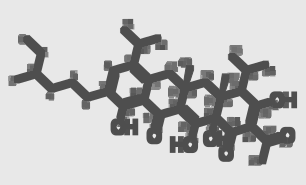 CCC(C)CCCc1cc(C(C)C)c2c(c1O)C(=O)C1=C(O)[C@@]3(O)C(=O)C(C(C)=O)=C(O)C(C(C)C)[C@@]3(C)C[C@@]1(C)C2